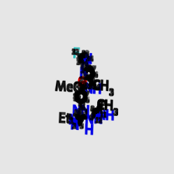 CCn1ncc2c(Nc3cc(C)[nH]n3)nc([C@H]3CC[C@](OC)(C(=O)N[C@@H](C)c4ccc(-n5cc(F)cn5)nc4)CC3)nc21